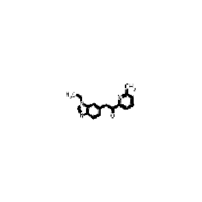 CCn1cnc2ccc(CC(=O)c3cccc(C)n3)cc21